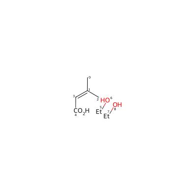 CC(C)=CC(=O)O.CCO.CCO